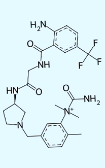 Cc1ccc(CN2CC[C@@H](NC(=O)CNC(=O)c3cc(C(F)(F)F)ccc3N)C2)cc1[N+](C)(C)C(N)=O